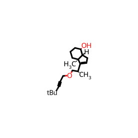 C[C@H](COCC#CC(C)(C)C)C1=CC[C@H]2[C@@H](O)CCC[C@]12C